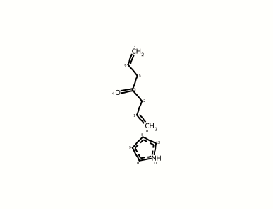 C=CCC(=O)CC=C.c1cc[nH]c1